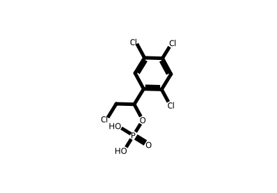 O=P(O)(O)OC(CCl)c1cc(Cl)c(Cl)cc1Cl